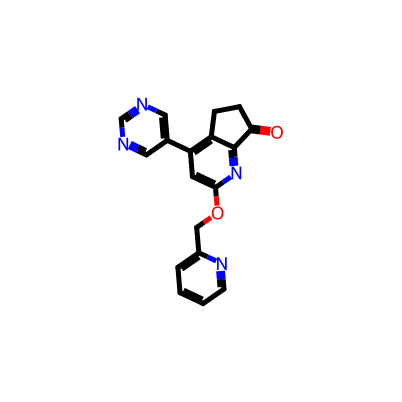 O=C1CCc2c(-c3cncnc3)cc(OCc3ccccn3)nc21